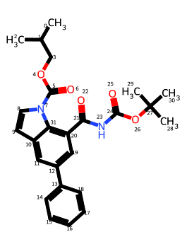 CC(C)COC(=O)n1ccc2cc(-c3ccccc3)cc(C(=O)NC(=O)OC(C)(C)C)c21